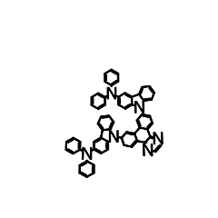 C1=c2c(c3nccnc3c3ccc(-n4c5ccccc5c5cc(N(c6ccccc6)c6ccccc6)ccc54)cc23)=CCC1n1c2ccccc2c2cc(N(c3ccccc3)c3ccccc3)ccc21